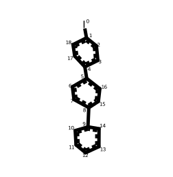 Ic1ccc(-c2ccc(-c3ccccc3)cc2)cc1